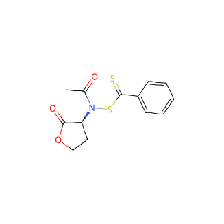 CC(=O)N(SC(=S)c1ccccc1)[C@H]1CCOC1=O